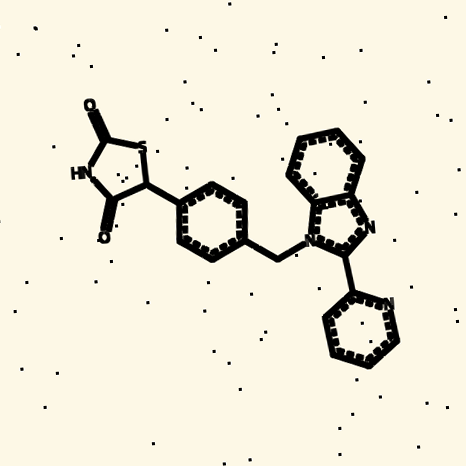 O=C1NC(=O)C(c2ccc(Cn3c(-c4ccccn4)nc4ccccc43)cc2)S1